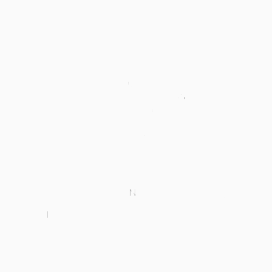 CCOC(=O)C(C#N)(Cc1ccccc1)C(CC)c1ccc(F)cc1